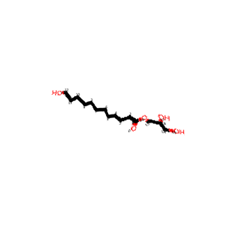 O=C(CCCCCCCCCCCO)OCC(O)CO